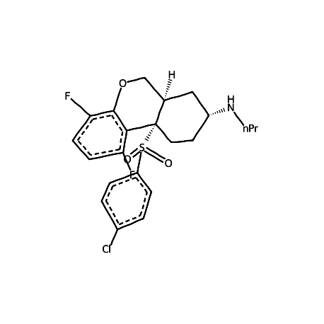 CCCN[C@@H]1CC[C@@]2(S(=O)(=O)c3ccc(Cl)cc3)c3c(F)ccc(F)c3OC[C@H]2C1